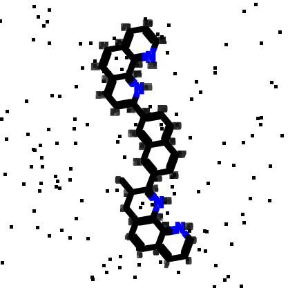 CC1Cc2ccc3cccnc3c2N=C1c1ccc2ccc(-c3ccc4ccc5cccnc5c4n3)cc2c1